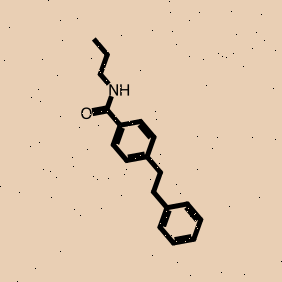 CCCNC(=O)c1ccc(CCc2ccccc2)cc1